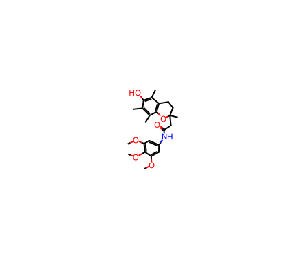 COc1cc(NC(=O)CC2(C)CCc3c(C)c(O)c(C)c(C)c3O2)cc(OC)c1OC